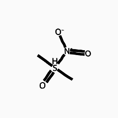 C[SH](C)(=O)[N+](=O)[O-]